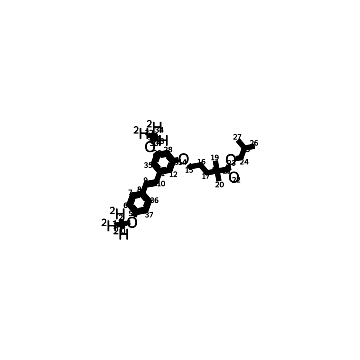 [2H]C([2H])([2H])Oc1ccc(/C=C/c2cc(OCCCC(C)(C)C(=O)OCC(C)C)cc(OC([2H])([2H])[2H])c2)cc1